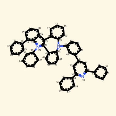 c1ccc(-c2cc(-c3cccc(N4c5ccccc5-c5c(n(-c6ccccc6)c6c(-c7ccccc7)cccc56)-c5ccccc54)c3)cc(-c3ccccc3)n2)cc1